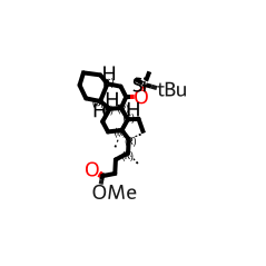 COC(=O)CC[C@@H](C)[C@H]1CC[C@H]2[C@@H]3C(O[Si](C)(C)C(C)(C)C)C[C@@H]4CCCC[C@]4(C)[C@H]3CC[C@]12C